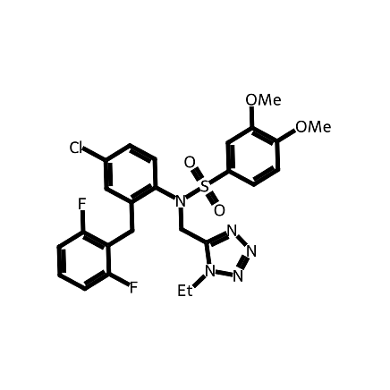 CCn1nnnc1CN(c1ccc(Cl)cc1Cc1c(F)cccc1F)S(=O)(=O)c1ccc(OC)c(OC)c1